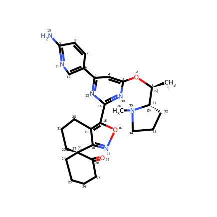 C[C@H](Oc1cc(-c2ccc(N)nc2)nc(-c2onc3c2CCC[C@@]32CCCCC2=O)n1)[C@@H]1CCCN1C